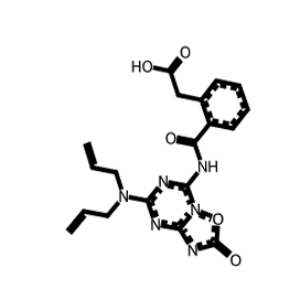 C=CCN(CC=C)c1nc(NC(=O)c2ccccc2CC(=O)O)n2oc(=O)nc2n1